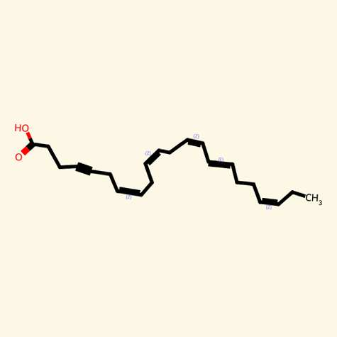 CC/C=C\CC/C=C/C=C\C/C=C\C/C=C\CC#CCCC(=O)O